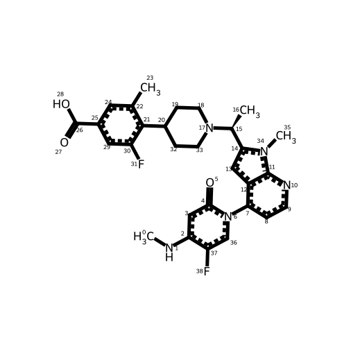 CNc1cc(=O)n(-c2ccnc3c2cc([C@H](C)N2CCC(c4c(C)cc(C(=O)O)cc4F)CC2)n3C)cc1F